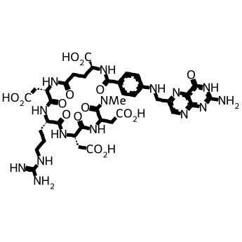 CNC(=O)C(CC(=O)O)NC(=O)[C@H](CC(=O)O)NC(=O)[C@H](CCCNC(=N)N)NC(=O)[C@H](CC(=O)O)NC(=O)CC[C@H](NC(=O)c1ccc(NCc2cnc3nc(N)[nH]c(=O)c3n2)cc1)C(=O)O